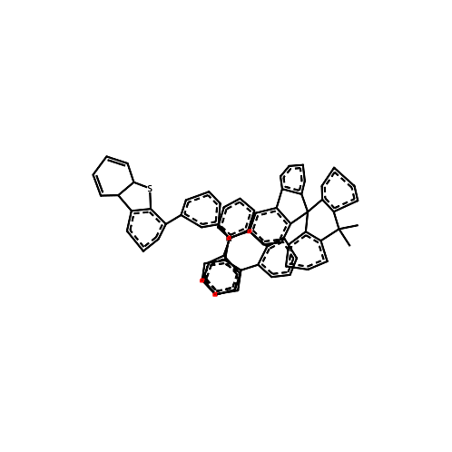 CC1(C)c2ccccc2C2(c3ccccc3-c3cc(N(c4cccc(-c5cccc6c5SC5C=CC=CC65)c4)c4ccccc4-c4ccccc4-c4ccccc4-c4ccccc4)ccc32)c2ccccc21